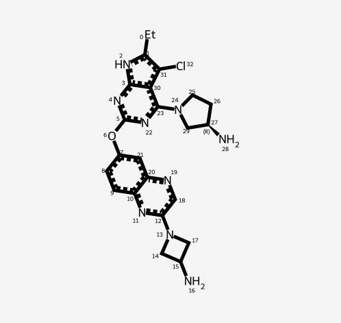 CCc1[nH]c2nc(Oc3ccc4nc(N5CC(N)C5)cnc4c3)nc(N3CC[C@@H](N)C3)c2c1Cl